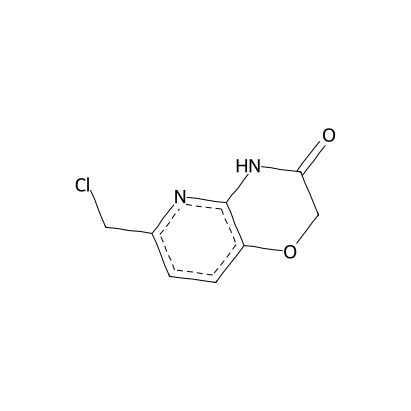 O=C1COc2ccc(CCl)nc2N1